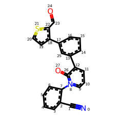 N#Cc1ccccc1-n1cccc(-c2cccc(-c3ccsc3C=O)c2)c1=O